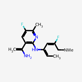 C=C(N)c1cc(F)c(C)nc1NC(/C=C(/F)CNC)=C/C